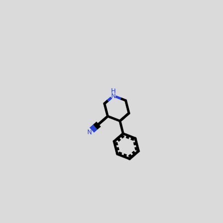 N#CC1CNCCC1c1ccccc1